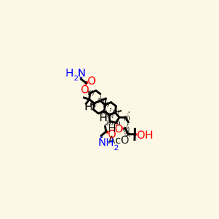 CC(=O)O[C@@H]([C@H]1C[C@@H](C)C2[C@H](O1)[C@H](CC(=O)CN)[C@@]1(C)[C@@H]3CC[C@H]4C(C)(C)[C@@H](OC(=O)CN)CC[C@@]45C[C@@]35CC[C@]21C)C(C)(C)O